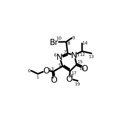 CCOC(=O)c1nc(C(C)Br)n(C(C)C)c(=O)c1OC